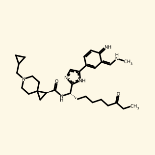 CCC(=O)CCCCC[C@H](NC(=O)[C@H]1CC12CCN(CC1CC1)CC2)c1ncc(C2=C/C(=C/NC)C(=N)C=C2)[nH]1